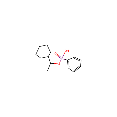 CC(OP(=O)(O)c1ccccc1)C1CCCCC1